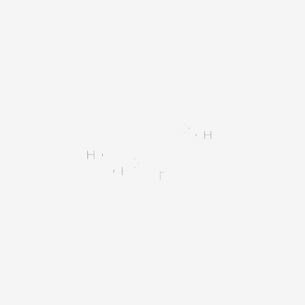 COc1cc(F)c2c(c1)C=CC(C)(C)O2